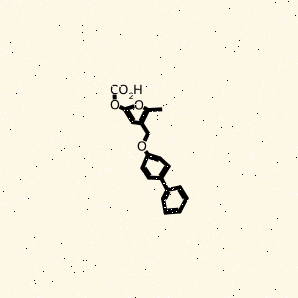 Cc1oc(OC(=O)O)cc1COc1ccc(-c2ccccc2)cc1